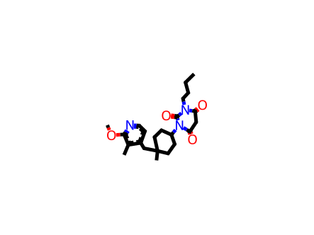 CCCCN1C(=O)CC(=O)N(C2CCC(C)(Cc3ccnc(OC)c3C)CC2)C1=O